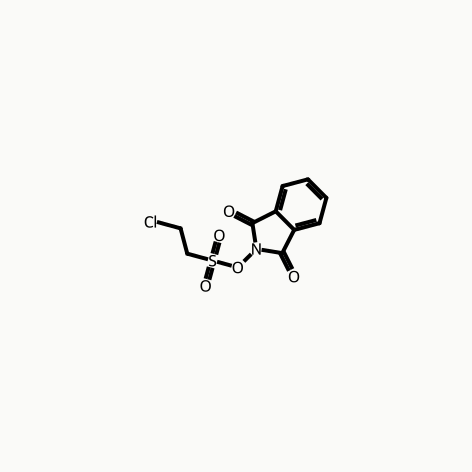 O=C1c2ccccc2C(=O)N1OS(=O)(=O)CCCl